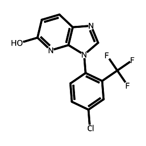 Oc1ccc2ncn(-c3ccc(Cl)cc3C(F)(F)F)c2n1